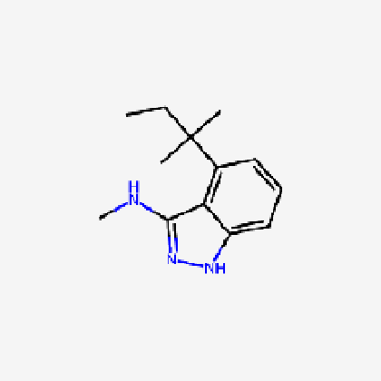 CCC(C)(C)c1cccc2[nH]nc(NC)c12